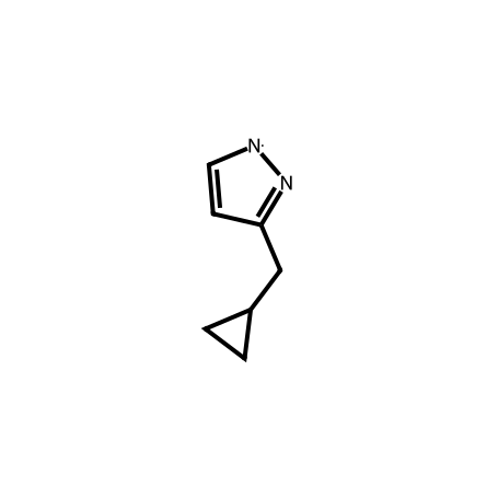 C1=CC(CC2CC2)=N[N]1